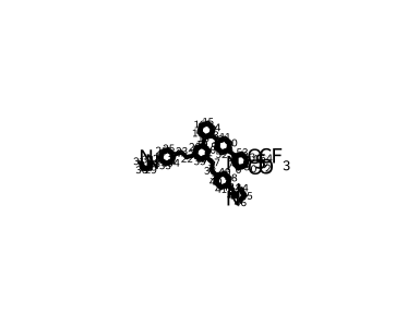 O=S(=O)(Oc1ccnc(-c2ccc(-c3ccccc3-c3cc(CCc4ccc(-n5cccn5)cc4)cc(CCc4ccc(-n5cccn5)cc4)c3)cc2)c1)C(F)(F)F